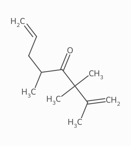 C=CCC(C)C(=O)C(C)(C)C(=C)C